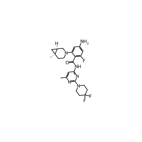 Cc1cc(NC(=O)c2c(F)cc(N)cc2N2CC[C@@]3(C)C[C@H]3C2)nc(N2CCC(F)(F)CC2)n1